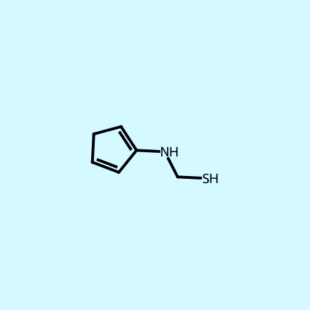 SCNC1=CCC=C1